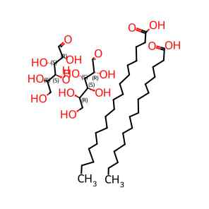 CCCCCCCCCCCCCCCC(=O)O.CCCCCCCCCCCCCCCCCC(=O)O.O=C[C@H](O)[C@@H](O)[C@@H](O)[C@H](O)CO.O=C[C@H](O)[C@@H](O)[C@@H](O)[C@H](O)CO